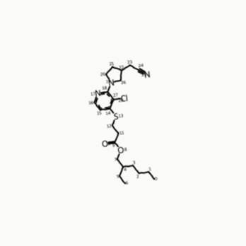 CCCCC(CC)COC(=O)CCSc1ccnc(N2CCC(CC#N)C2)c1Cl